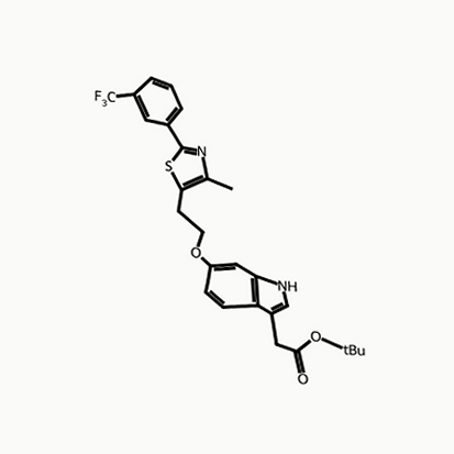 Cc1nc(-c2cccc(C(F)(F)F)c2)sc1CCOc1ccc2c(CC(=O)OC(C)(C)C)c[nH]c2c1